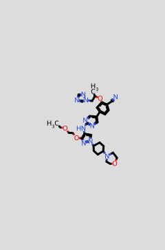 CCOCCOc1nn(C2CCC(N3CCOCC3)CC2)cc1Nc1ncc(-c2ccc(C#N)c(OC(C)Cn3cncn3)c2)cn1